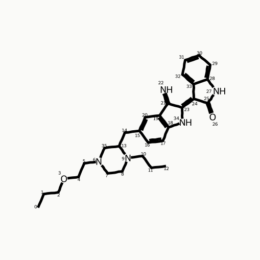 CCCOCCN1CCN(CCC)C(Cc2ccc3c(c2)C(=N)/C(=C2/C(=O)Nc4ccccc42)N3)C1